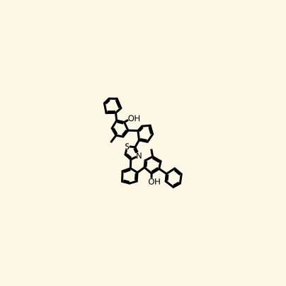 Cc1cc(-c2ccccc2)c(O)c(-c2ccccc2-c2csc(-c3ccccc3-c3cc(C)cc(-c4ccccc4)c3O)n2)c1